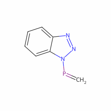 C=Pn1nnc2ccccc21